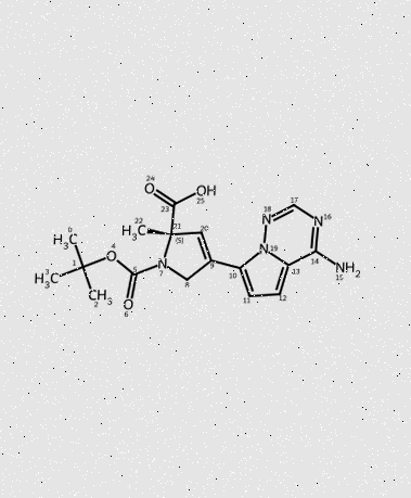 CC(C)(C)OC(=O)N1CC(c2ccc3c(N)ncnn23)=C[C@@]1(C)C(=O)O